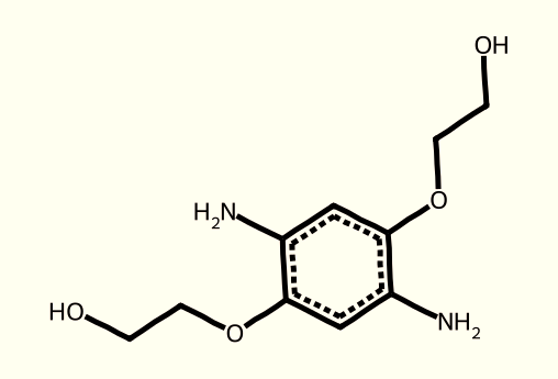 Nc1cc(OCCO)c(N)cc1OCCO